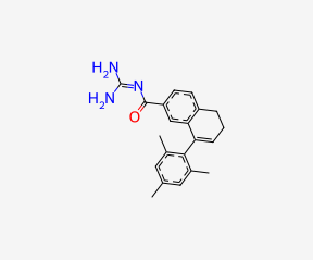 Cc1cc(C)c(C2=CCCc3ccc(C(=O)N=C(N)N)cc32)c(C)c1